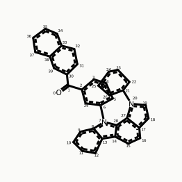 O=C(c1cccc(-n2c3ccccc3c3ccc4ccn(-c5ccccc5)c4c32)c1)c1ccc2ccccc2c1